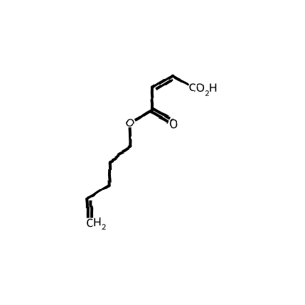 C=CCCCOC(=O)/C=C\C(=O)O